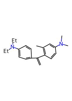 C=C(c1ccc(N(CC)CC)cc1)c1ccc(N(C)C)cc1C